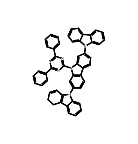 C1=Cc2c(c3ccccc3n2-c2ccc3c4ccc(-n5c6ccccc6c6ccccc65)cc4n(-c4nc(-c5ccccc5)nc(-c5ccccc5)n4)c3c2)CC1